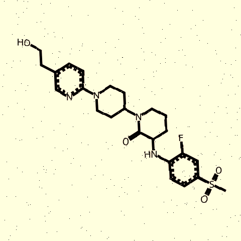 CS(=O)(=O)c1ccc(NC2CCCN(C3CCN(c4ccc(CCO)cn4)CC3)C2=O)c(F)c1